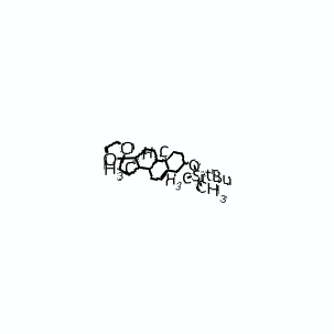 CC(C)(C)[Si](C)(C)OC1CC[C@@]2(C)C(=CCC3C2CC[C@@]2(C)C3CCC23OCCO3)C1